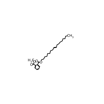 CCCCCCCCC=CCCCCCCCCOC(=O)c1ccccc1C(=O)OC